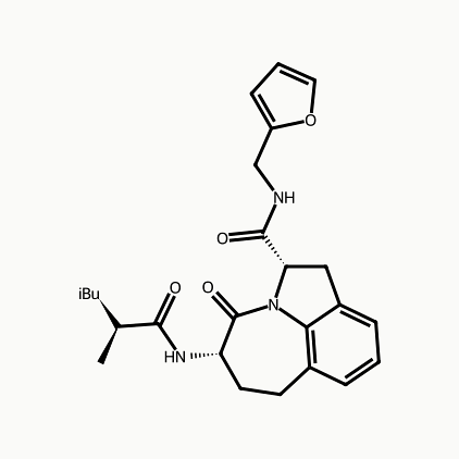 CC[C@H](C)[C@H](C)C(=O)N[C@H]1CCc2cccc3c2N(C1=O)[C@H](C(=O)NCc1ccco1)C3